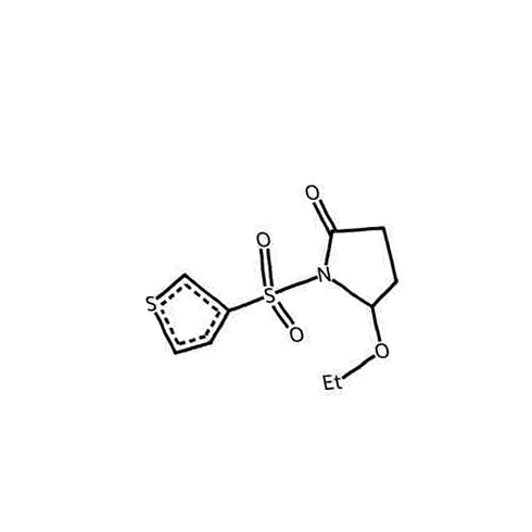 CCOC1CCC(=O)N1S(=O)(=O)c1ccsc1